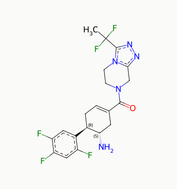 CC(F)(F)c1nnc2n1CCN(C(=O)C1=CC[C@H](c3cc(F)c(F)cc3F)[C@@H](N)C1)C2